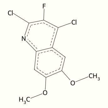 COc1cc2nc(Cl)c(F)c(Cl)c2cc1OC